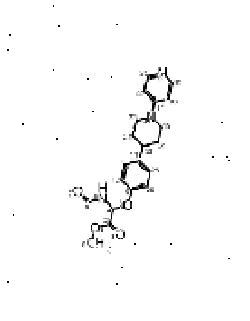 COC(=O)C(NC=O)Oc1ccc(C2CCN(c3ccncc3)CC2)cc1